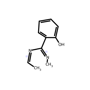 C/C=N\C(=N/C)c1ccccc1O